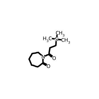 C[Si](C)(C)CCC(=O)N1CCCCCC1=O